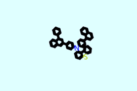 c1ccc(-c2cc(-c3ccc(N(c4ccc(-c5cccc6ccccc56)cc4)c4cccc5sc6ccccc6c45)cc3)cc3ccccc23)cc1